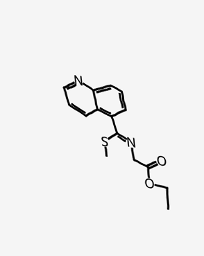 CCOC(=O)C/N=C(\SC)c1cccc2ncccc12